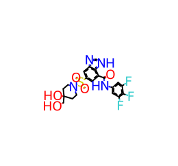 O=C(Nc1cc(F)c(F)c(F)c1)c1cc(S(=O)(=O)N2CCC(O)(CO)CC2)cc2nc[nH]c12